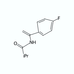 C=C(NC(=O)C(C)C)c1ccc(F)cc1